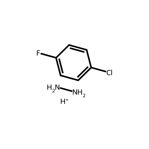 Fc1ccc(Cl)cc1.NN.[H+]